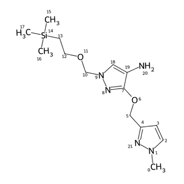 Cn1ccc(COc2nn(COCC[Si](C)(C)C)cc2N)n1